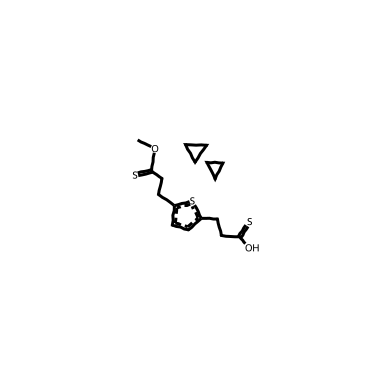 C1CC1.C1CC1.COC(=S)CCc1ccc(CCC(O)=S)s1